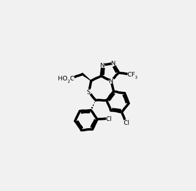 O=C(O)C[C@@H]1S[C@@H](c2ccccc2Cl)c2cc(Cl)ccc2-n2c1nnc2C(F)(F)F